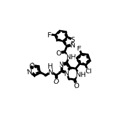 O=C1Cn2c(C(=O)NCc3cnoc3)nc(NC(=O)c3nsc4ccc(F)cc34)c2C(c2cc(F)ccc2Cl)N1